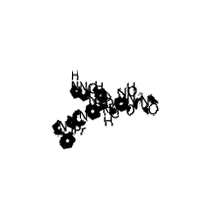 CC(C)c1ccccc1[C@@H]1CCCN1C1CC2(CCN(c3ccc(C(=O)NS(=O)(=O)c4cc5c(c([N+](=O)[O-])c4)N[C@@H](CN4CCOCC4)CO5)c(N4c5cc6cc[nH]c6nc5O[C@H]5COC[C@@H]54)c3)CC2)C1